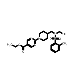 CCOC(=O)c1cnc(N2CCC(CN(CC)S(=O)(=O)c3ccccc3C)CC2)nc1